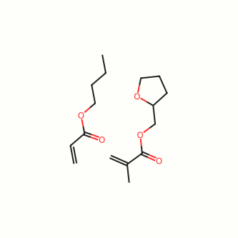 C=C(C)C(=O)OCC1CCCO1.C=CC(=O)OCCCC